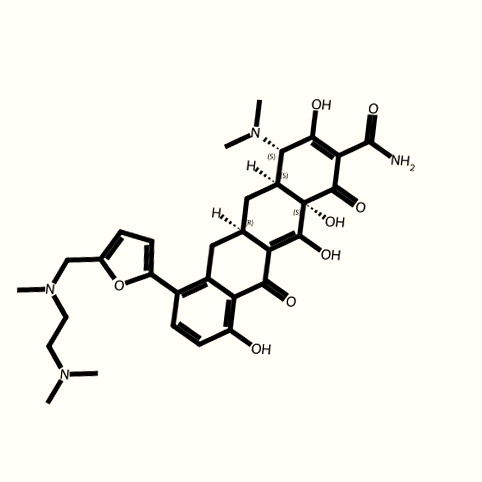 CN(C)CCN(C)Cc1ccc(-c2ccc(O)c3c2C[C@H]2C[C@H]4[C@H](N(C)C)C(O)=C(C(N)=O)C(=O)[C@@]4(O)C(O)=C2C3=O)o1